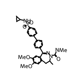 CNC(=O)N1N=C(c2ccc(-c3ccc(S(=O)(=O)NC4CC4)cc3)cc2)c2cc(OC)c(OC)cc2CC1C